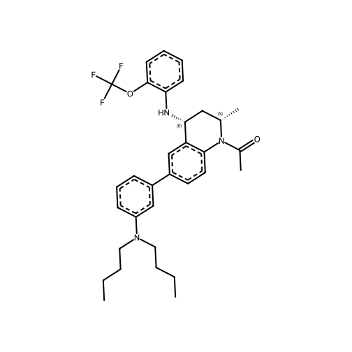 CCCCN(CCCC)c1cccc(-c2ccc3c(c2)[C@H](Nc2ccccc2OC(F)(F)F)C[C@H](C)N3C(C)=O)c1